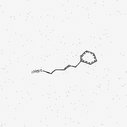 CCCCCCCCCC=CCc1[c]cccc1